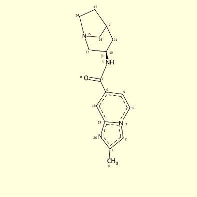 Cc1cn2ccc(C(=O)N[C@@H]3CC4CCN(C4)C3)cc2n1